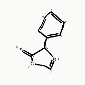 S=C1O[C]=NC1c1ccccc1